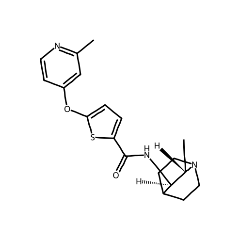 Cc1cc(Oc2ccc(C(=O)N[C@@H]3C4CCN(CC4)[C@H]3C)s2)ccn1